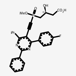 COP(=O)(C#Cc1c(-c2ccc(F)cc2)nc(-c2ccccc2)nc1C(C)C)C[C@@H](O)CC(=O)O